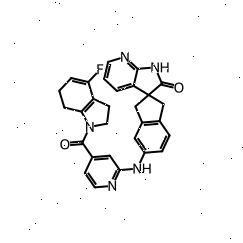 O=C(c1ccnc(Nc2ccc3c(c2)CC2(C3)C(=O)Nc3ncccc32)c1)N1CCC2=C1CCC=C2F